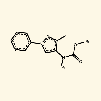 Cc1nn(-c2cccnc2)cc1N(C(=O)OC(C)(C)C)C(C)C